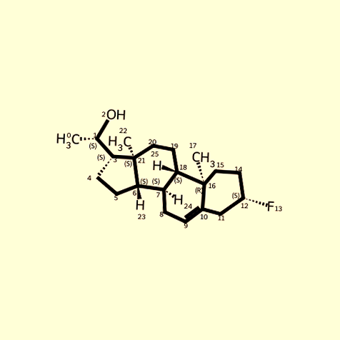 C[C@H](O)[C@H]1CC[C@H]2[C@@H]3CC=C4C[C@@H](F)CC[C@]4(C)[C@H]3CC[C@]12C